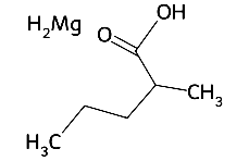 CCCC(C)C(=O)O.[MgH2]